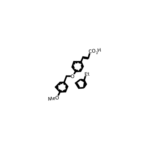 CCC1CC2C=CC1C2.COc1ccc(COc2ccc(C=CC(=O)O)cc2)cc1